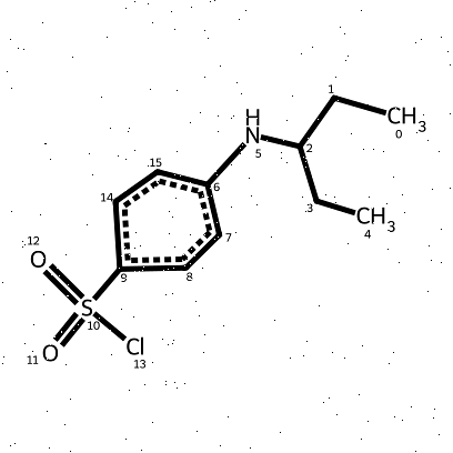 CCC(CC)Nc1ccc(S(=O)(=O)Cl)cc1